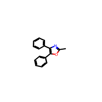 Cc1nc(-c2ccccc2)c(-c2ccccc2)o1